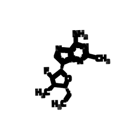 CC[C@H]1O[C@@H](c2cnc3c(N)nc(C)nn23)[C@H](F)[C@@H]1C